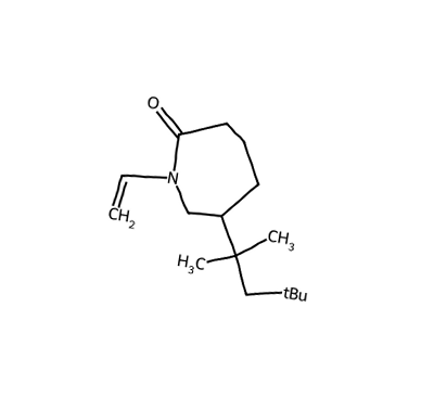 C=CN1CC(C(C)(C)CC(C)(C)C)CCCC1=O